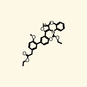 CCOC(=O)Cc1ccc(OC)c(-c2cccc(-c3onc(C)c3N(C(=O)OCC)c3ccccc3Cl)c2)c1